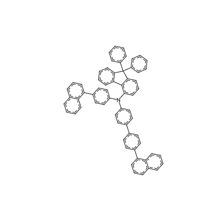 c1ccc(C2(c3ccccc3)c3ccccc3-c3c(N(c4ccc(-c5ccc(-c6cccc7ccccc67)cc5)cc4)c4ccc(-c5cccc6ccccc56)cc4)cccc32)cc1